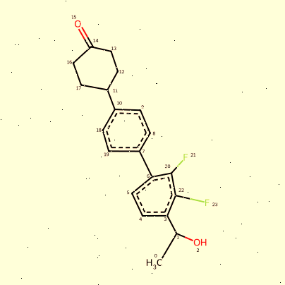 CC(O)c1ccc(-c2ccc(C3CCC(=O)CC3)cc2)c(F)c1F